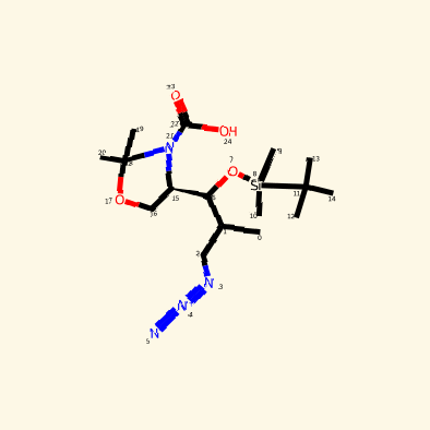 CC(CN=[N+]=[N-])C(O[Si](C)(C)C(C)(C)C)[C@H]1COC(C)(C)N1C(=O)O